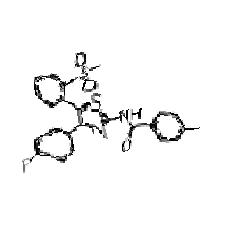 Cc1ccc(C(=O)Nc2nc(-c3ccc(F)cc3)c(-c3ccccc3S(C)(=O)=O)s2)cc1